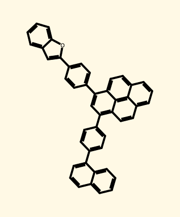 c1ccc2oc(-c3ccc(-c4cc(-c5ccc(-c6cccc7ccccc67)cc5)c5ccc6cccc7ccc4c5c76)cc3)cc2c1